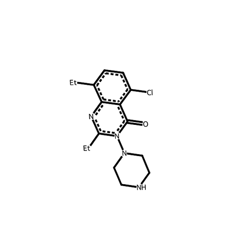 CCc1ccc(Cl)c2c(=O)n(N3CCNCC3)c(CC)nc12